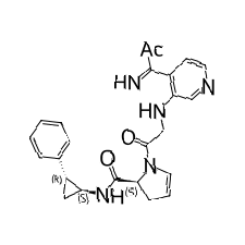 CC(=O)C(=N)c1ccncc1NCC(=O)N1C=CC[C@H]1C(=O)N[C@H]1C[C@@H]1c1ccccc1